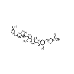 Cc1c(Nc2nccc3cc(CN4CC[C@@H](O)C4)cnc23)cccc1-c1nccc(-c2nc3cc(CN4CCC[C@@H](C(=O)O)C4)cc(C#N)c3o2)c1Cl